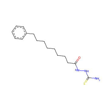 NC(=S)NNC(=O)CCCCCCCCc1ccccc1